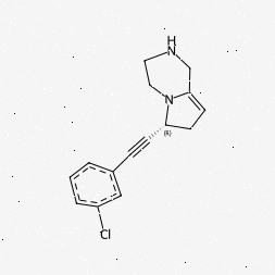 Clc1cccc(C#C[C@H]2CC=C3CNCCN32)c1